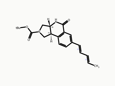 C/C=C/C=C/c1ccc2c(c1)C(=O)N[C@H]1CN(C(=O)OC(C)(C)C)C[C@H]21